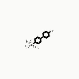 CS(C)(C)c1ccc(-c2ccc(Br)cc2)cc1